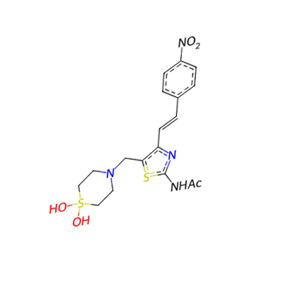 CC(=O)Nc1nc(C=Cc2ccc([N+](=O)[O-])cc2)c(CN2CCS(O)(O)CC2)s1